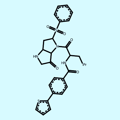 CC(C)CC(NC(=O)c1ccc(-c2cccs2)cc1)C(=O)N1C2C(=O)CNC2CC1S(=O)(=O)c1ccccc1